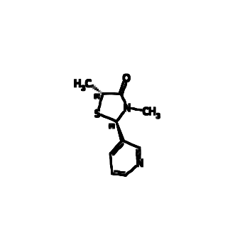 C[C@H]1S[C@H](c2cccnc2)N(C)C1=O